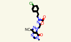 Cn1cnc2c(C#N)nn(Cc3nn(CCc4ccc(Cl)cc4)c(=O)o3)c2c1=O